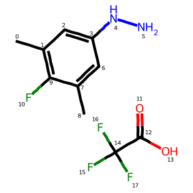 Cc1cc(NN)cc(C)c1F.O=C(O)C(F)(F)F